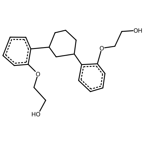 OCCOc1ccccc1C1CCCC(c2ccccc2OCCO)C1